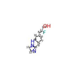 OCC(F)=Cc1ccc(Cc2ncc[nH]2)cc1